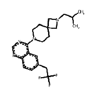 CC(C)CN1CC2(CCN(c3ncnc4ccc(CC(F)(F)F)cc34)CC2)C1